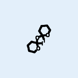 IC1(OC2(I)CCCCO2)CCCCO1